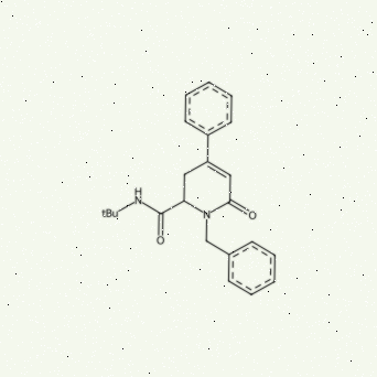 CC(C)(C)NC(=O)C1CC(c2ccccc2)=CC(=O)N1Cc1ccccc1